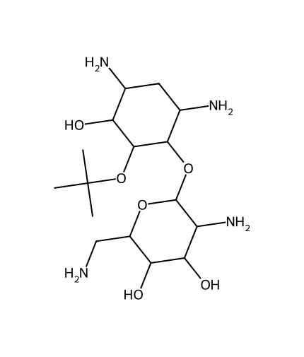 CC(C)(C)OC1C(O)C(N)CC(N)C1OC1OC(CN)C(O)C(O)C1N